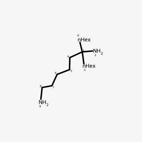 CCCCCCC(N)(CCCCCC)CCCCCN